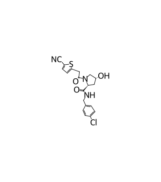 N#Cc1ccc(CC(=O)N2C[C@H](O)C[C@H]2C(=O)NCc2ccc(Cl)cc2)s1